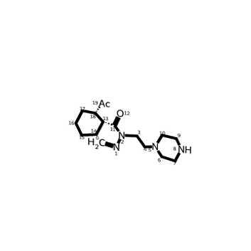 C=NN(CCN1CCNCC1)C(=O)[C@@H]1CCCC[C@@H]1C(C)=O